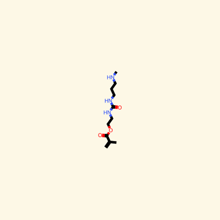 C=C(C)C(=O)OCCNC(=O)NCCCNC